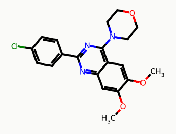 COc1cc2nc(-c3ccc(Cl)cc3)nc(N3CCOCC3)c2cc1OC